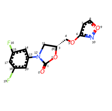 O=C1O[C@@H](COc2ccon2)CN1c1cc(F)cc(F)c1